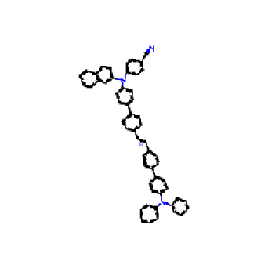 N#Cc1ccc(N(c2ccc(-c3ccc(/C=C/c4ccc(-c5ccc(N(c6ccccc6)c6ccccc6)cc5)cc4)cc3)cc2)c2ccc3ccccc3c2)cc1